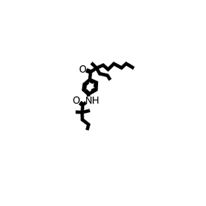 CCCCCCC(C)(CCC)C(=O)c1ccc(NC(=O)C(C)(C)CCC)cc1